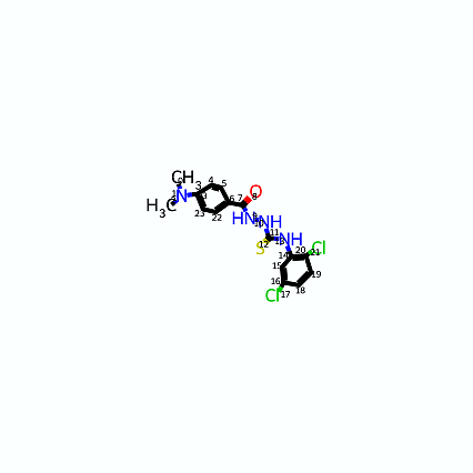 CN(C)c1ccc(C(=O)NNC(=S)Nc2cc(Cl)ccc2Cl)cc1